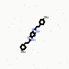 CC(C)(C)c1ccc(C=Cc2nc3cc4nc(C=Cc5ccc(C(C)(C)C)cc5)[nH]c4cc3[nH]2)cc1